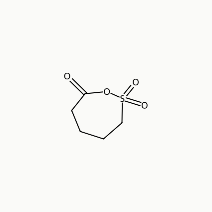 O=C1CCCCS(=O)(=O)O1